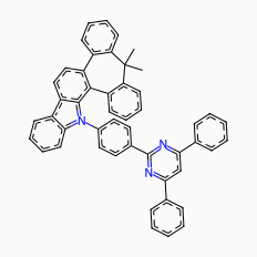 CC1(C)c2ccccc2-c2ccc3c4ccccc4n(-c4ccc(-c5nc(-c6ccccc6)cc(-c6ccccc6)n5)cc4)c3c2-c2ccccc21